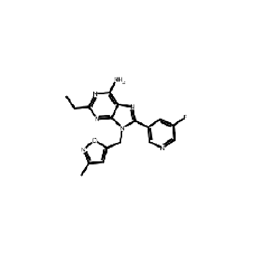 CCc1nc(N)c2nc(-c3cncc(F)c3)n(Cc3cc(C)no3)c2n1